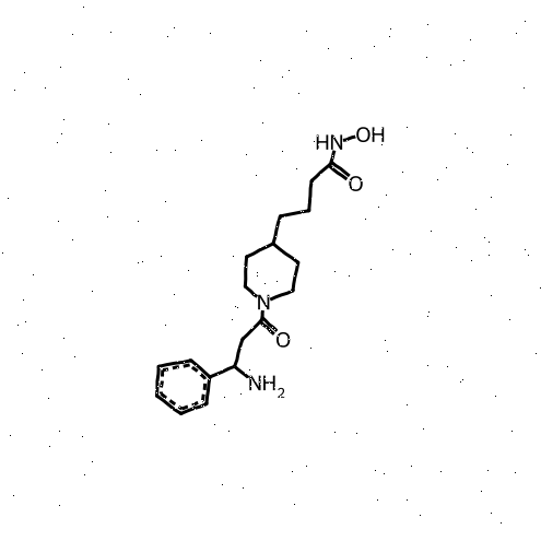 NC(CC(=O)N1CCC(CCCC(=O)NO)CC1)c1ccccc1